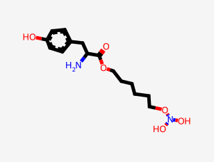 NC(Cc1ccc(O)cc1)C(=O)OCCCCCCON(O)O